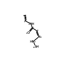 C=CNC(=O)/C=N\NS